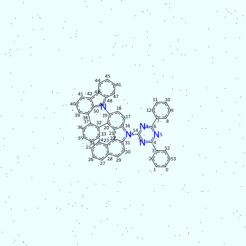 c1ccc(-c2nc(-c3ccccc3)nc(-n3c4ccc5c(c4c4c6ccccc6ccc43)-c3ccccc3-c3cccc4c6ccccc6n-5c34)n2)cc1